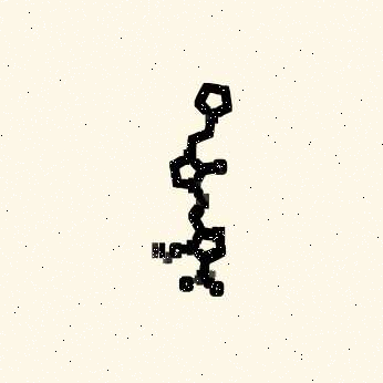 Cn1c([N+](=O)[O-])cnc1C=NN1CCN(CCN2CCCC2)C1=O